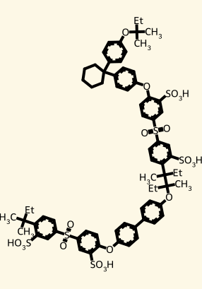 CCC(C)(C)Oc1ccc(C2(c3ccc(Oc4ccc(S(=O)(=O)c5ccc(C(C)(CC)C(C)(CC)Oc6ccc(-c7ccc(Oc8ccc(S(=O)(=O)c9ccc(C(C)(C)CC)c(S(=O)(=O)O)c9)cc8S(=O)(=O)O)cc7)cc6)c(S(=O)(=O)O)c5)cc4S(=O)(=O)O)cc3)CCCCC2)cc1